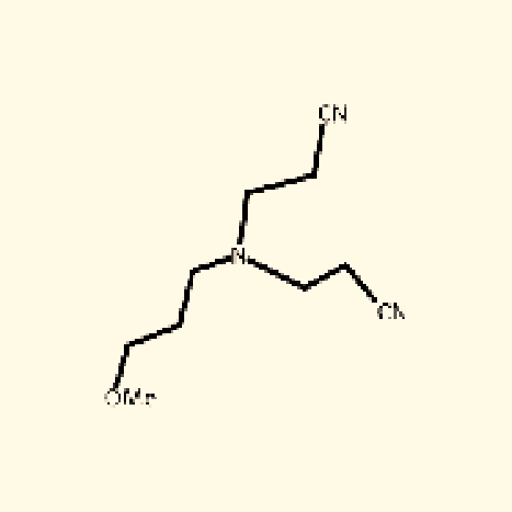 COCCCN(CCC#N)CCC#N